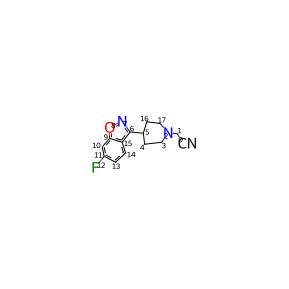 N#CCN1CCC(c2noc3cc(F)ccc23)CC1